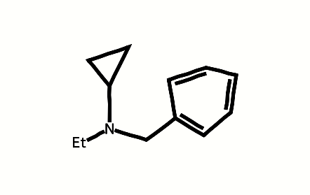 CCN(Cc1ccccc1)C1CC1